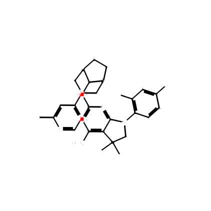 CNc1nc(NC2C3CCC2CN(c2cc(C)ncn2)C3)nc2c1C(C)(C)CN2c1ccc(F)cc1F